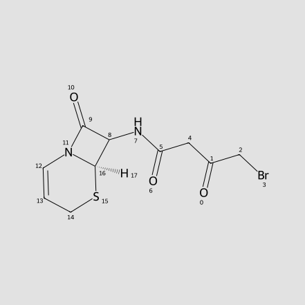 O=C(CBr)CC(=O)NC1C(=O)N2C=CCS[C@H]12